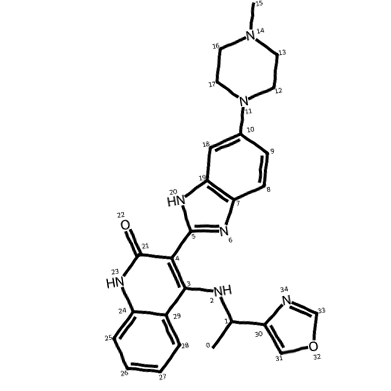 CC(Nc1c(-c2nc3ccc(N4CCN(C)CC4)cc3[nH]2)c(=O)[nH]c2ccccc12)c1cocn1